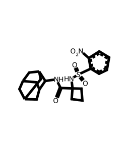 O=C(NC1C2CC3CC(C2)CC1C3)C1(NS(=O)(=O)c2ccccc2[N+](=O)[O-])CCC1